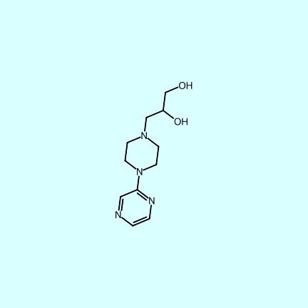 OCC(O)CN1CCN(c2cnccn2)CC1